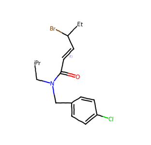 CCC(Br)/C=C/C(=O)N(Cc1ccc(Cl)cc1)CC(C)C